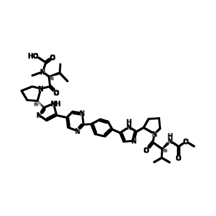 COC(=O)N[C@H](C(=O)N1CCCC1c1ncc(-c2ccc(-c3ncc(-c4cnc([C@@H]5CCCN5C(=O)[C@H](C(C)C)N(C)C(=O)O)[nH]4)cn3)cc2)[nH]1)C(C)C